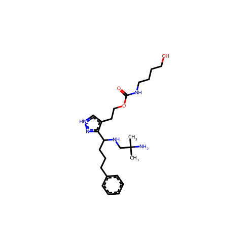 CC(C)(N)CNC(CCCc1ccccc1)c1n[nH]cc1CCOC(=O)NCCCCO